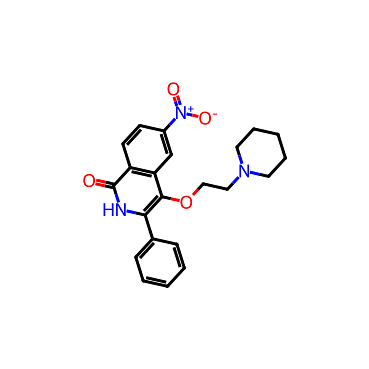 O=c1[nH]c(-c2ccccc2)c(OCCN2CCCCC2)c2cc([N+](=O)[O-])ccc12